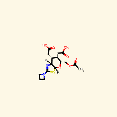 CC(=O)OC[C@@H]1O[C@@H]2SC(N3CCC3)=N[C@@H]2[C@H](CC(=O)O)[C@@H]1CC(=O)O